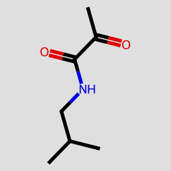 CC(=O)C(=O)NCC(C)C